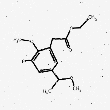 CCOC(=O)Cc1cc(C(C)OC)cc(F)c1OC